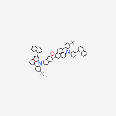 CC(C)(C)c1ccc(-c2ccccc2)c(N(c2cccc(-c3cccc4ccccc34)c2)c2ccc3cc4c(cc3c2)oc2cc3cc(N(c5cccc(-c6cccc7ccccc67)c5)c5cc(C(C)(C)C)ccc5-c5ccccc5)ccc3cc24)c1